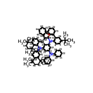 CC(C)(C)c1ccc(N2c3cc(N(c4ccccc4)c4ccccc4)cc4c3B(c3ccc5c(c3N4c3ccc4c(c3)C(C)(C)CCC4(C)C)C(C)(C)CCC5(C)C)c3c2sc2ccccc32)c(-c2ccccc2)c1